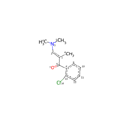 C/C(=C\N(C)C)C(=O)c1ccccc1Cl